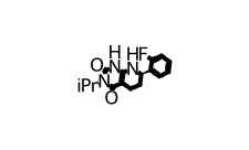 CC(C)n1c(=O)[nH]c2c(c1=O)CC[C@H](c1ccccc1F)N2